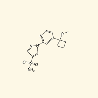 COC1(c2ccnc(-n3cc(S(N)(=O)=O)cn3)c2)CCC1